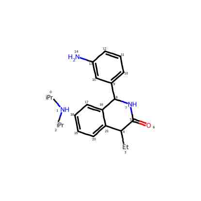 CC(C)NC(C)C.CCC1C(=O)NC(c2cccc(N)c2)c2ccccc21